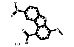 COc1ccc(C(=O)O)c2c1oc1ccc([N+](=O)[O-])cc12.Cl